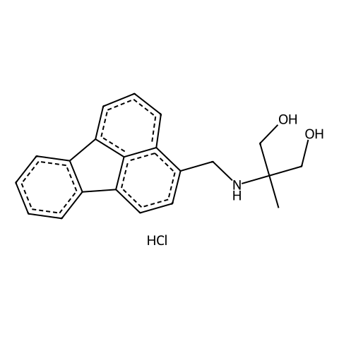 CC(CO)(CO)NCc1ccc2c3c(cccc13)-c1ccccc1-2.Cl